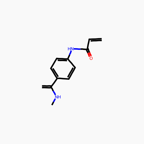 C=CC(=O)Nc1ccc(C(=C)NC)cc1